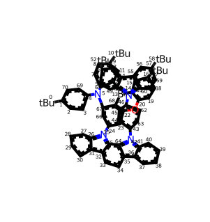 CC(C)(C)c1ccc(N2c3ccc(C(C)(C)C)cc3B3c4cc(C(C)(C)C)ccc4Oc4cc(-n5c6ccccc6c6ccc7c8ccccc8n(-c8ccc(-n9c%10ccc(C(C)(C)C)cc%10c%10cc(C(C)(C)C)ccc%109)cc8)c7c65)cc2c43)cc1